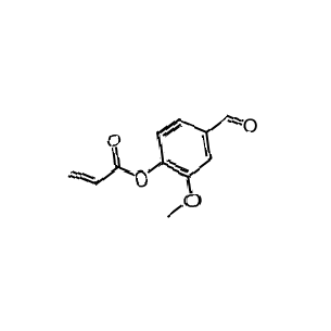 C=CC(=O)Oc1ccc(C=O)cc1OC